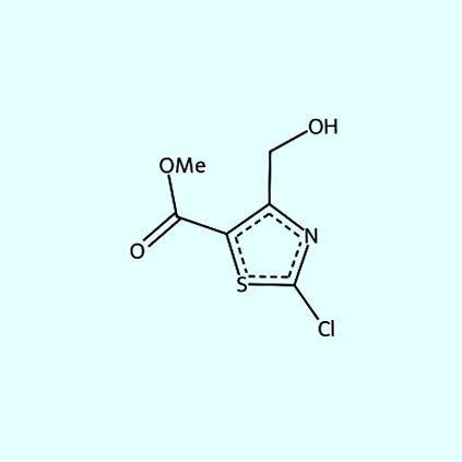 COC(=O)c1sc(Cl)nc1CO